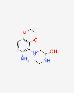 Nc1ccc2c(c1N1CCNC(O)C1)OCCO2